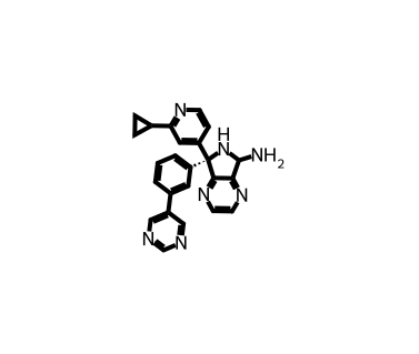 NC1N[C@](c2cccc(-c3cncnc3)c2)(c2ccnc(C3CC3)c2)c2nccnc21